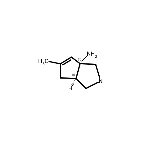 CC1=C[C@@]2(N)C[N]C[C@H]2C1